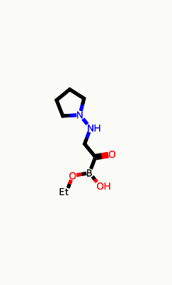 CCOB(O)C(=O)CNN1CCCC1